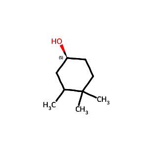 CC1C[C@@H](O)CCC1(C)C